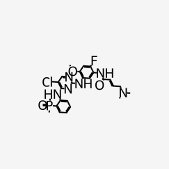 COc1cc(F)c(NC(=O)C=CCN(C)C)cc1Nc1ncc(Cl)c(Nc2ccccc2P(C)(C)=O)n1